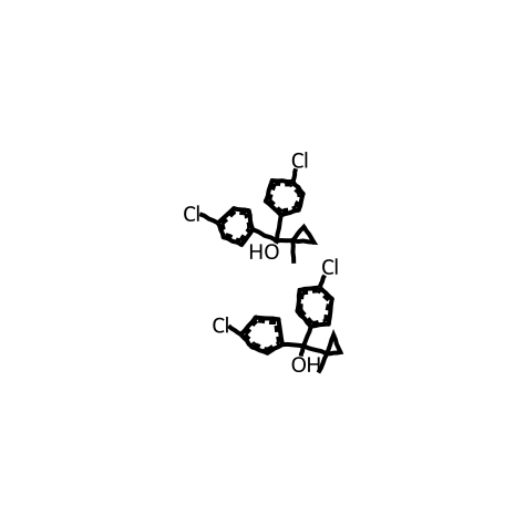 CC1(C(O)(c2ccc(Cl)cc2)c2ccc(Cl)cc2)CC1.CC1(C(O)(c2ccc(Cl)cc2)c2ccc(Cl)cc2)CC1